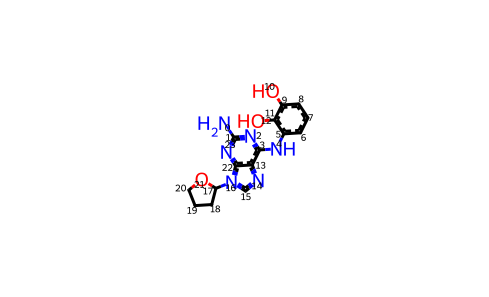 Nc1nc(Nc2cccc(O)c2O)c2ncn(C3CCCO3)c2n1